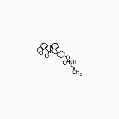 C=CCNC(=O)OC1CCC(CNC(=O)c2cccc3c2OCC3)(c2ccccc2)CC1